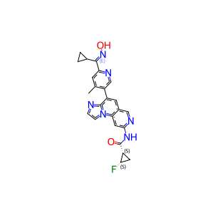 Cc1cc(/C(=N/O)C2CC2)ncc1-c1cc2cnc(NC(=O)[C@@H]3C[C@@H]3F)cc2n2ccnc12